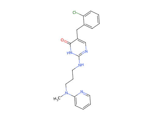 CN(CCCNc1ncc(Cc2ccccc2Cl)c(=O)[nH]1)c1ccccn1